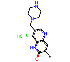 CCc1cc2ncc(CN3CCNCC3)cc2[nH]c1=O.Cl.Cl